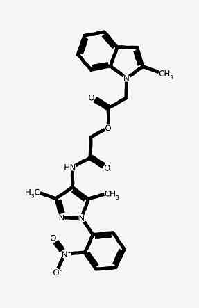 Cc1nn(-c2ccccc2[N+](=O)[O-])c(C)c1NC(=O)COC(=O)Cn1c(C)cc2ccccc21